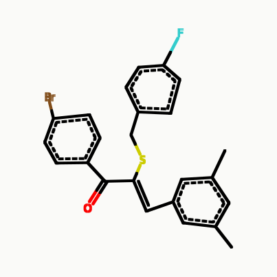 Cc1cc(C)cc(C=C(SCc2ccc(F)cc2)C(=O)c2ccc(Br)cc2)c1